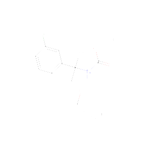 CCOC(=O)COCC(NC(=O)OC(C)(C)C)(c1cccc(Br)c1)C(F)(F)F